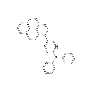 c1ccc(P(c2ccccc2)c2ncc(-c3ccc4ccc5cccc6ccc3c4c56)cn2)cc1